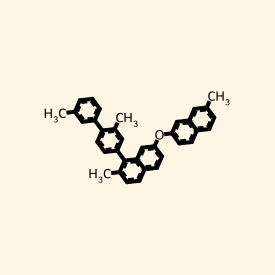 Cc1cccc(-c2ccc(-c3c(C)ccc4ccc(Oc5ccc6ccc(C)cc6c5)cc34)cc2C)c1